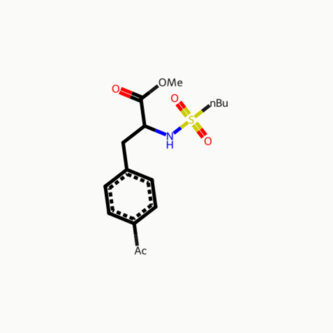 CCCCS(=O)(=O)NC(Cc1ccc(C(C)=O)cc1)C(=O)OC